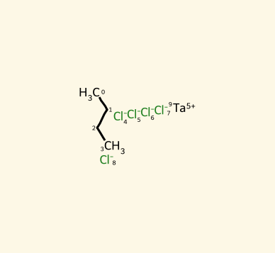 CCCC.[Cl-].[Cl-].[Cl-].[Cl-].[Cl-].[Ta+5]